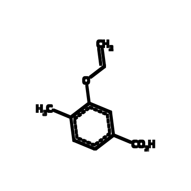 C=COc1cc(C(=O)O)ccc1C